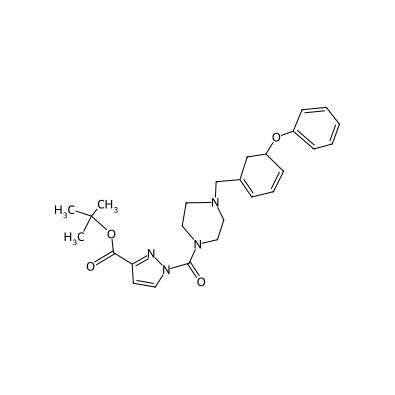 CC(C)(C)OC(=O)c1ccn(C(=O)N2CCN(CC3=CC=CC(Oc4ccccc4)C3)CC2)n1